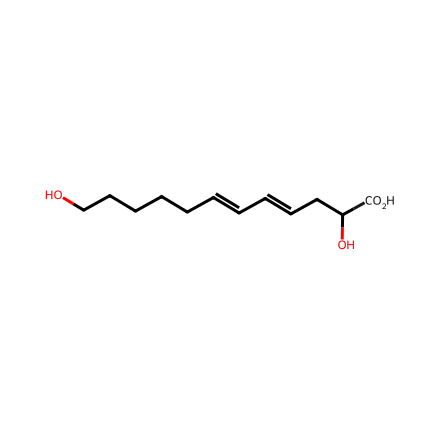 O=C(O)C(O)CC=CC=CCCCCCO